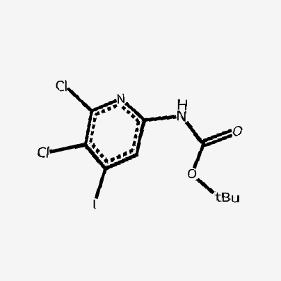 CC(C)(C)OC(=O)Nc1cc(I)c(Cl)c(Cl)n1